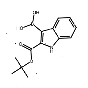 CC(C)(C)OC(=O)c1[nH]c2ccccc2c1B(O)O